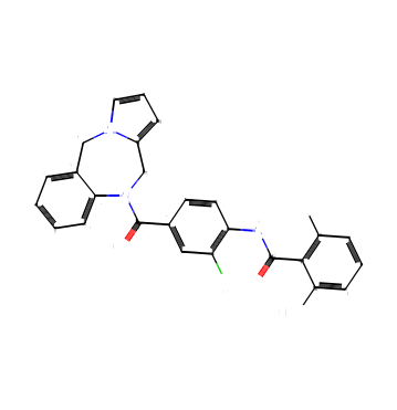 Cc1cccc(C)c1C(=O)Nc1ccc(C(=O)N2Cc3cccn3Cc3ccccc32)cc1Cl